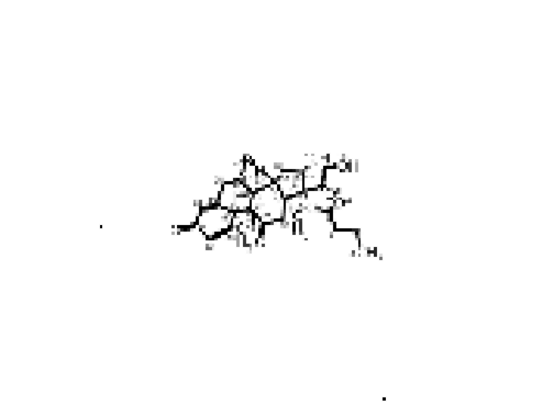 CCCC(=O)O[C@@]1(C(=O)CO)[C@H](C)C[C@H]2[C@@H]3[C@H](Br)CC4=CC(=O)C=C[C@]4(C)[C@H]3C(=O)C[C@@]21C